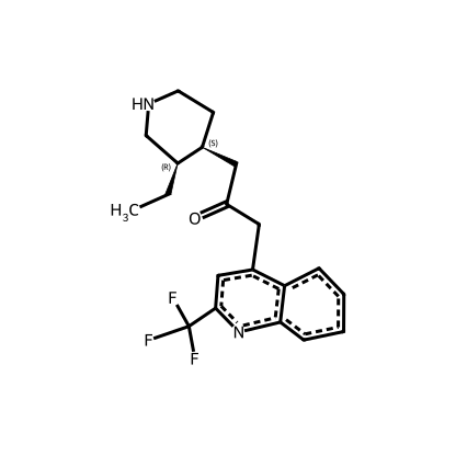 CC[C@H]1CNCC[C@H]1CC(=O)Cc1cc(C(F)(F)F)nc2ccccc12